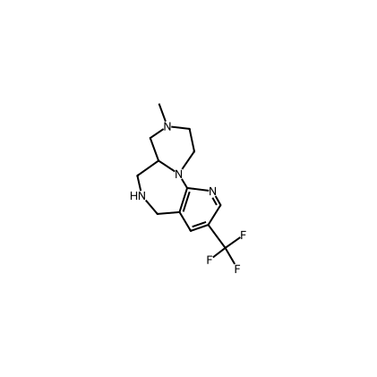 CN1CCN2c3ncc(C(F)(F)F)cc3CNCC2C1